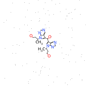 CC(CC=O)n1cc(C(=O)c2cn(C(C)CC=O)c3ncncc23)c2cncnc21